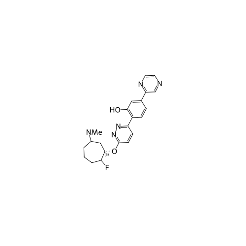 CNC1CCCC(F)[C@@H](Oc2ccc(-c3ccc(-c4cnccn4)cc3O)nn2)C1